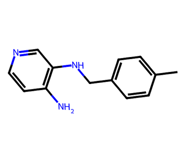 Cc1ccc(CNc2cnccc2N)cc1